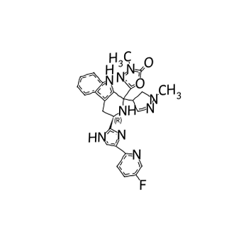 CN1CC(C2(c3nn(C)c(=O)o3)N[C@@H](c3nc(-c4ccc(F)cn4)c[nH]3)Cc3c2[nH]c2ccccc32)C=N1